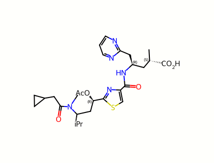 CC(=O)O[C@H](CC(C(C)C)N(C)C(=O)CC1CC1)c1nc(C(=O)N[C@@H](Cc2ncccn2)C[C@H](C)C(=O)O)cs1